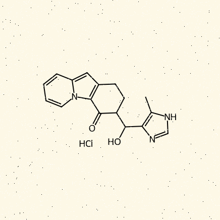 Cc1[nH]cnc1C(O)C1CCc2cc3ccccn3c2C1=O.Cl